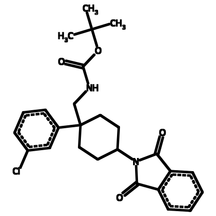 CC(C)(C)OC(=O)NCC1(c2cccc(Cl)c2)CCC(N2C(=O)c3ccccc3C2=O)CC1